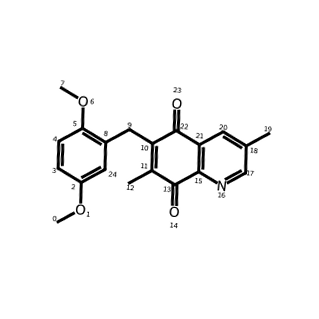 COc1ccc(OC)c(CC2=C(C)C(=O)c3ncc(C)cc3C2=O)c1